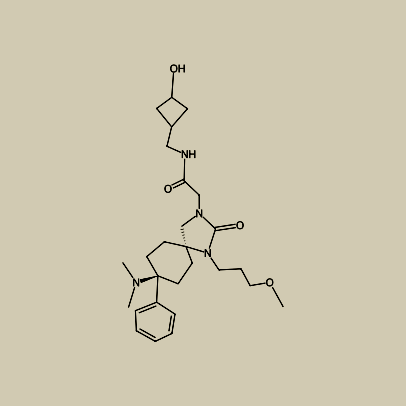 COCCCN1C(=O)N(CC(=O)NCC2CC(O)C2)C[C@]12CC[C@](c1ccccc1)(N(C)C)CC2